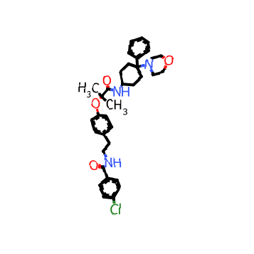 CC(C)(Oc1ccc(CCNC(=O)c2ccc(Cl)cc2)cc1)C(=O)NC1CCC(c2ccccc2)(N2CCOCC2)CC1